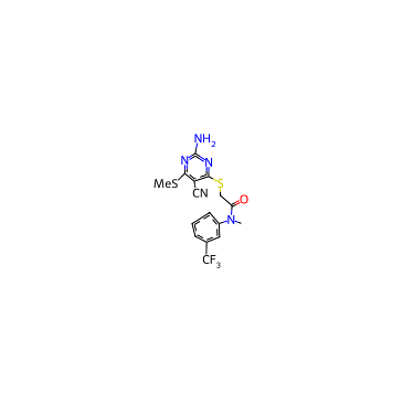 CSc1nc(N)nc(SCC(=O)N(C)c2cccc(C(F)(F)F)c2)c1C#N